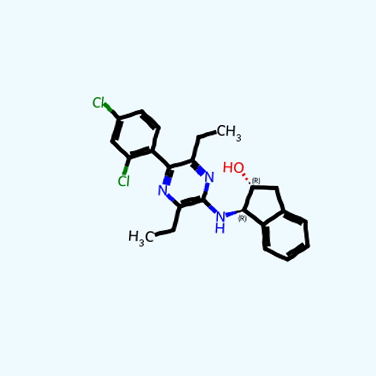 CCc1nc(-c2ccc(Cl)cc2Cl)c(CC)nc1N[C@@H]1c2ccccc2C[C@H]1O